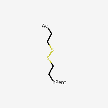 CCCCCCCSSCCC(C)=O